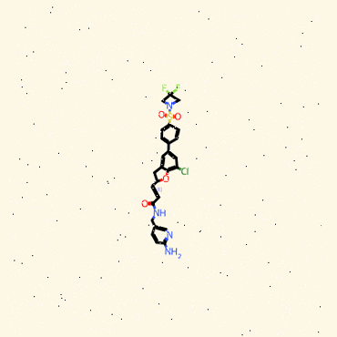 Nc1ccc(CNC(=O)/C=C/C2Cc3cc(-c4ccc(S(=O)(=O)N5CC(F)(F)C5)cc4)cc(Cl)c3O2)cn1